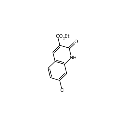 CCOC(=O)c1cc2ccc(Cl)cc2[nH]c1=O